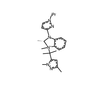 Cc1cc(C(C)(C)[N+]2(C)c3ccccc3N(c3ccn(C(C)C)n3)[C@H]2C)n(C)n1